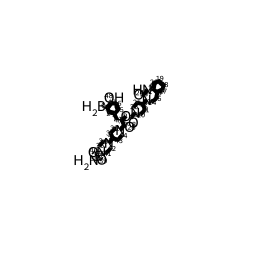 Bc1cc(C[C@@H](OC(=O)N2CCC(N3CCc4ccccc4NC3=O)CC2)C(=O)N2CCC(N3CCN(S(N)(=O)=O)CC3)CC2)ccc1O